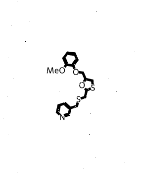 COc1ccccc1OCC1CSC(CSCc2cccnc2)O1